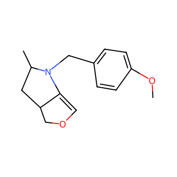 COc1ccc(CN2C3=COCC3CC2C)cc1